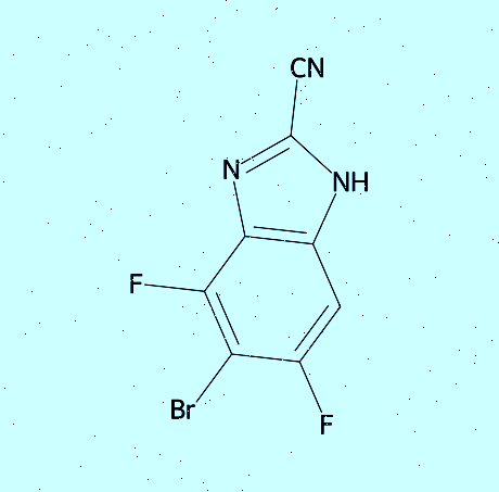 N#Cc1nc2c(F)c(Br)c(F)cc2[nH]1